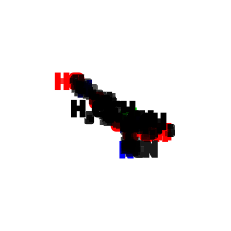 Cc1c(COc2cc(OCc3cncc(C#N)c3)c(CNC(C)(CO)CO)c(C)c2Cl)cccc1-c1cccc(OCCCN2CCC(O)C2)c1C